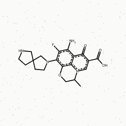 CC1COc2c(N3CCC4(CCNC4)C3)c(F)c(N)c3c(=O)c(C(=O)O)cn1c23